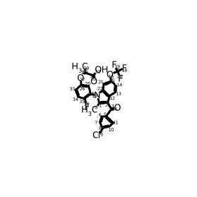 Cc1c(C(=O)c2ccc(Cl)cc2)c2ccc(OC(F)(F)F)cc2n1-c1cc(O[C@@H](C)C(=O)O)ccc1F